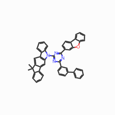 CC1(C)c2ccccc2-c2cc3c(cc21)c1ccccc1n3-c1nc(-c2cccc(-c3ccccc3)c2)nc(-c2ccc3c(c2)oc2ccccc23)n1